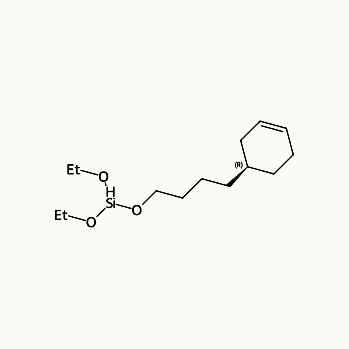 CCO[SiH](OCC)OCCCC[C@H]1CC=CCC1